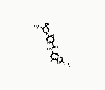 Cc1cn2cc(NC(=O)c3cnc(N4CC(C)C5(CC5)C4)cn3)cc(F)c2n1